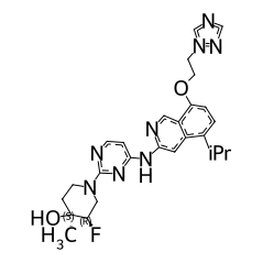 CC(C)c1ccc(OCCn2cncn2)c2cnc(Nc3ccnc(N4CC[C@](C)(O)[C@H](F)C4)n3)cc12